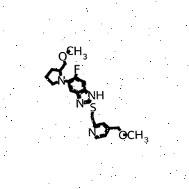 COCc1ccnc(CSc2nc3cc(N4CCCC4COC)c(F)cc3[nH]2)c1